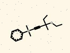 CCOC(C)(C#C[Si](C)(C)c1ccccc1)CC